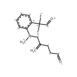 C=C(CCC=O)CN(C)c1ccccc1C(F)(F)C=O